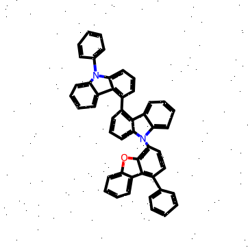 c1ccc(-c2ccc(-n3c4ccccc4c4c(-c5cccc6c5c5ccccc5n6-c5ccccc5)cccc43)c3oc4ccccc4c23)cc1